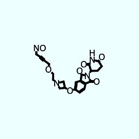 O=NCC#CCOCCN1CC(Oc2ccc3c(c2)C(=O)N(C2CCC(=O)NC2=O)C3=O)C1